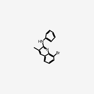 Cc1cc2cccc(Br)c2nc1Nc1ccccc1